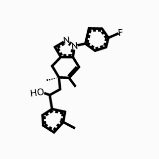 CC1=Cc2c(cnn2-c2ccc(F)cc2)C[C@]1(C)CC(O)c1cccc(C)c1